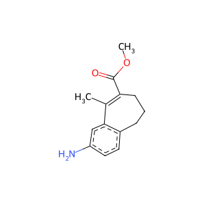 COC(=O)C1=C(C)c2cc(N)ccc2CCC1